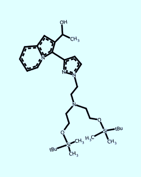 CC(O)c1cc2ccccn2c1-c1ccn(CCN(CCO[Si](C)(C)C(C)(C)C)CCO[Si](C)(C)C(C)(C)C)n1